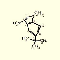 Cn1cc(N)c2cc(C(C)(C)C)ccc21